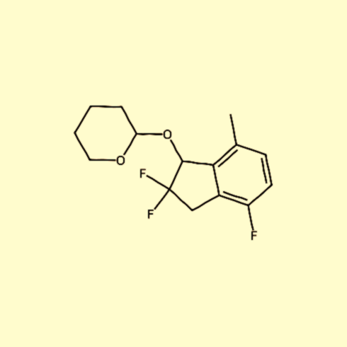 Cc1ccc(F)c2c1C(OC1CCCCO1)C(F)(F)C2